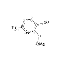 COCc1nc(C(F)(F)F)ccc1C(C)(C)C